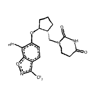 CCCc1c(O[C@H]2CCC[C@@H]2CN2CCC(=O)NC2=O)ccc2c(C(F)(F)F)noc12